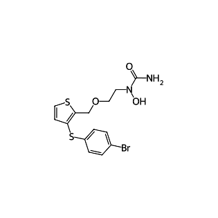 NC(=O)N(O)CCOCc1sccc1Sc1ccc(Br)cc1